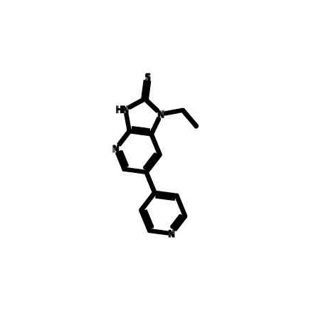 CCn1c(=S)[nH]c2ncc(-c3ccncc3)cc21